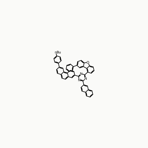 CCCCc1ccc(-c2ccc3ccc4cc(-c5nc(-c6ccc7ccccc7c6)nc(-c6cccc7oc8ccc(-c9ccccc9)cc8c67)n5)ccc4c3c2)cc1